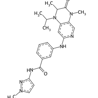 CC(C)N1c2cc(Nc3cccc(C(=O)Nc4ccn(C)n4)c3)ncc2N(C)C(=O)C1C